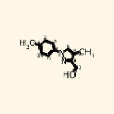 Cc1ccc(-n2cc(C)c(CO)n2)cc1